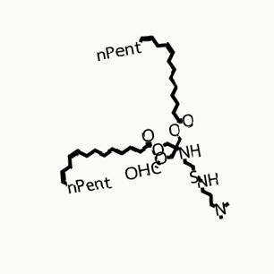 CCCCC/C=C\C/C=C\CCCCCCCC(=O)OCC(COC=O)(COC(=O)CCCCCCC/C=C\C/C=C\CCCCC)NCCSNCCCN(C)C